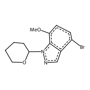 COc1ccc(Br)c2cnn(C3CCCCO3)c12